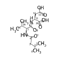 CC(C)CC(=O)N[C@H](C(=O)N[C@@H](CC(=O)O)C(=O)O)C(C)C